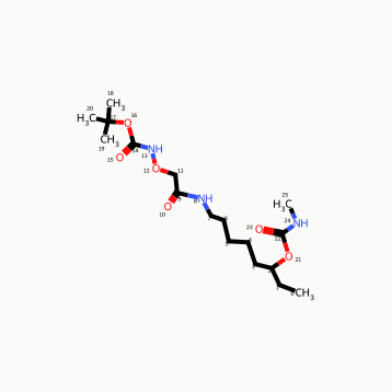 CCC(CCCCCNC(=O)CONC(=O)OC(C)(C)C)OC(=O)NC